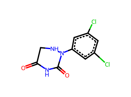 O=C1CNN(c2cc(Cl)cc(Cl)c2)C(=O)N1